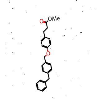 COC(=O)CCc1ccc(OCc2ccc(Cc3ccccc3)cc2)cc1